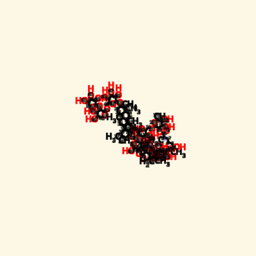 C=CC(C)(O)CC/C=C(\C)C(=O)OC1C(OCC2OC(OC(=O)C34CCC(C)(C)CC3C3=CCC5C6(C)CCC(OC7OC(COC8OCC(O)C(O)C8OC8OCC(O)C(O)C8O)C(O)C(O)C7O)C(C)(C)C6CCC5(C)C3(C)CC4O)C(OC3OC(O)C(OC4OCC(O)C(OC5OCC(O)C(O)C5O)C4O)C(O)C3O)C(OC(=O)/C(C)=C/CCC(C)(O)C=C)C2O)OC(C)C(O)C1O